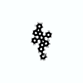 c1ccc(-c2c3cc4c5ccccc5c5cccc(c3c(-c3ccccc3)c3c6cc7ccc(-c8ccccn8)cc7c7cccc(c23)c76)c54)cc1